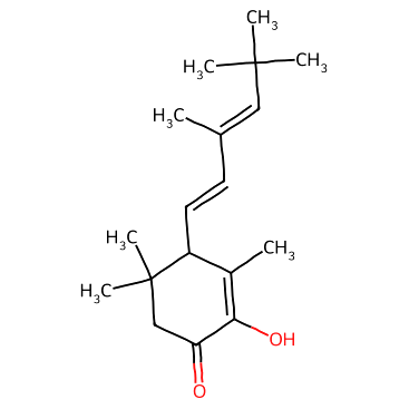 CC1=C(O)C(=O)CC(C)(C)C1/C=C/C(C)=C/C(C)(C)C